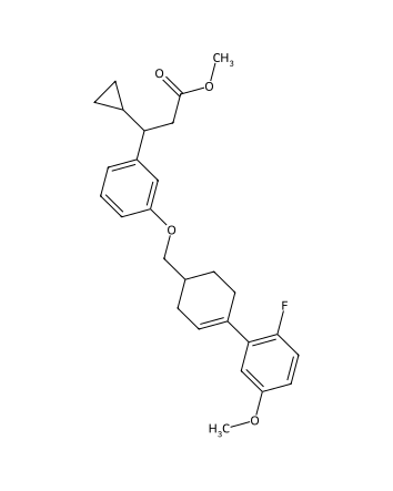 COC(=O)CC(c1cccc(OCC2CC=C(c3cc(OC)ccc3F)CC2)c1)C1CC1